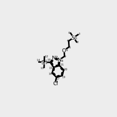 C[Si](C)(C)CCOCn1n[c]([Sn]([CH3])([CH3])[CH3])c2cc(Cl)ccc21